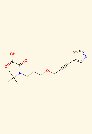 CC(C)(C)N(CCCOCC#Cc1cncs1)C(=O)C(=O)O